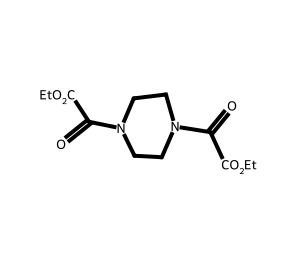 CCOC(=O)C(=O)N1CCN(C(=O)C(=O)OCC)CC1